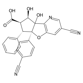 N#Cc1ccc([C@@]23Oc4cc(C#N)cnc4C2(O)[C@H](O)[C@H](C(=O)O)[C@H]3c2ccccc2)cc1